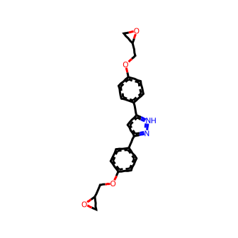 c1cc(-c2cc(-c3ccc(OCC4CO4)cc3)[nH]n2)ccc1OCC1CO1